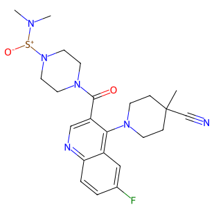 CN(C)[S+]([O-])N1CCN(C(=O)c2cnc3ccc(F)cc3c2N2CCC(C)(C#N)CC2)CC1